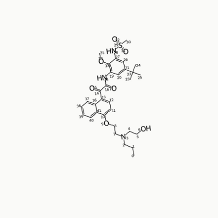 CCCN(CCO)CCOc1ccc(C(=O)C(=O)Nc2cc(C(C)(C)C)cc(NS(C)(=O)=O)c2OC)c2ccccc12